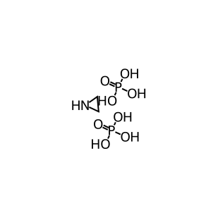 C1CN1.O=P(O)(O)O.O=P(O)(O)O